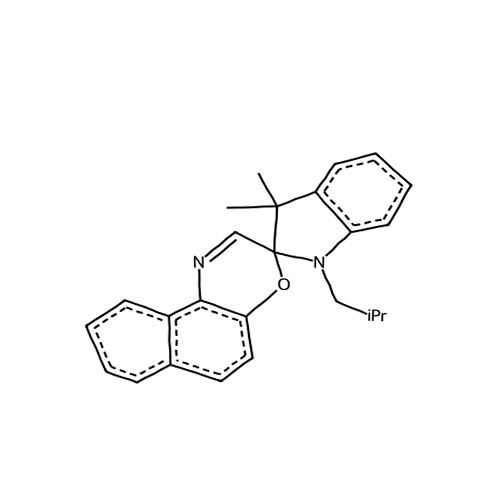 CC(C)CN1c2ccccc2C(C)(C)C12C=Nc1c(ccc3ccccc13)O2